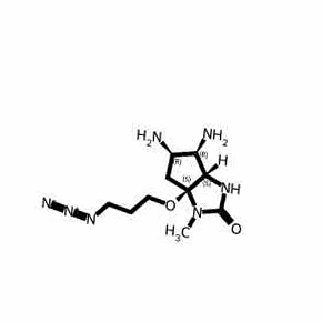 CN1C(=O)N[C@H]2[C@H](N)[C@H](N)C[C@]21OCCCN=[N+]=[N-]